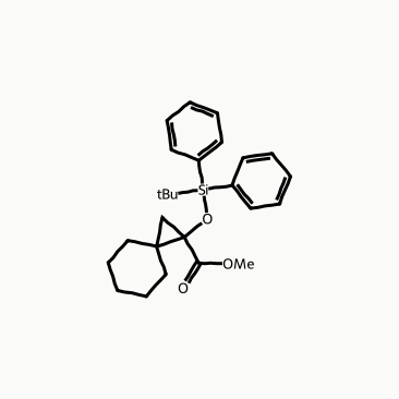 COC(=O)C1(O[Si](c2ccccc2)(c2ccccc2)C(C)(C)C)CC12CCCCC2